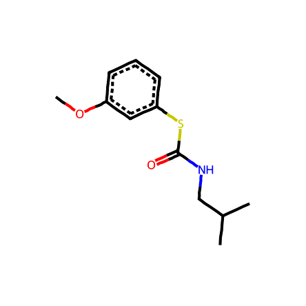 COc1cccc(SC(=O)NCC(C)C)c1